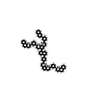 c1cc(-c2ccc3ccc4ccccc4c3n2)cc(-c2ccc3ccc4ccc(-c5ccc(-c6cccc7c(-c8cc9ccc(-c%10cccc(-c%11ccc%12ccccc%12c%11)c%10)nc9c9nc(-c%10cccc(-c%11ccc%12ccc%13ccccc%13c%12n%11)c%10)ccc89)cccc67)cc5)nc4c3n2)c1